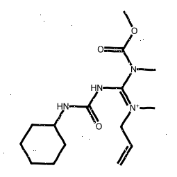 C=CC[N+](C)=C(NC(=O)NC1CCCCC1)N(C)C(=O)OC